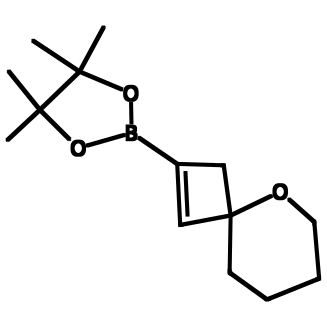 CC1(C)OB(C2=CC3(CCCCO3)C2)OC1(C)C